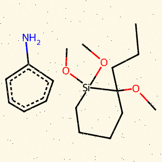 CCCC1(OC)CCCC[Si]1(OC)OC.Nc1ccccc1